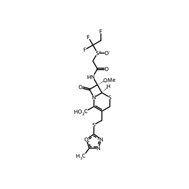 CO[C@@]1(NC(=O)C[S+]([O-])C(F)(F)CF)C(=O)N2C(C(=O)O)=C(CSc3nnc(C)o3)CS[C@@H]21